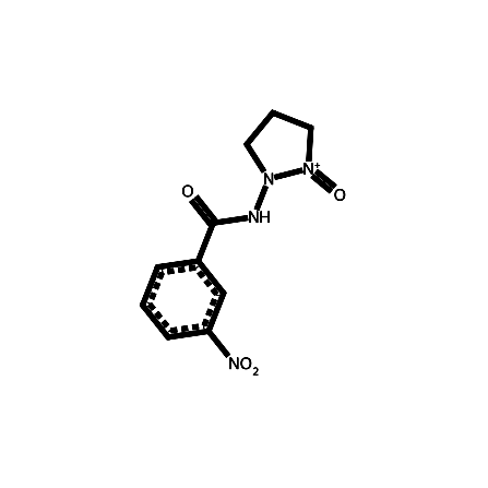 O=C(NN1CCC[N+]1=O)c1cccc([N+](=O)[O-])c1